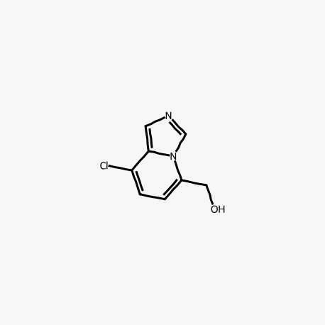 OCc1ccc(Cl)c2cncn12